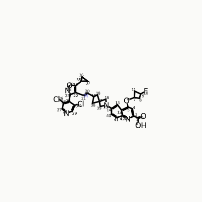 O=C(O)c1cc(OC2CC(F)C2)c2cc(N3CC4(CC(/C=C/c5c(-c6c(Cl)cncc6Cl)noc5C5CC5)C4)C3)ccc2n1